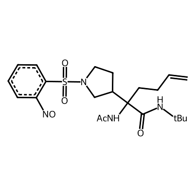 C=CCCC(NC(C)=O)(C(=O)NC(C)(C)C)C1CCN(S(=O)(=O)c2ccccc2N=O)C1